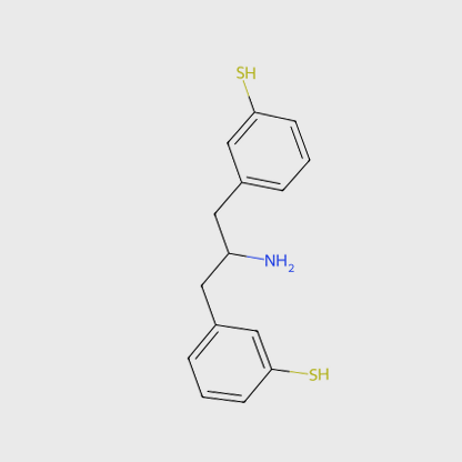 NC(Cc1cccc(S)c1)Cc1cccc(S)c1